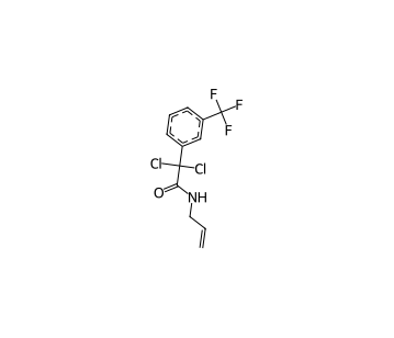 C=CCNC(=O)C(Cl)(Cl)c1cccc(C(F)(F)F)c1